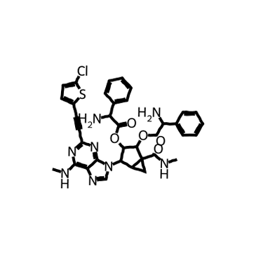 CNC(=O)C12CC1C(n1cnc3c(NC)nc(C#Cc4ccc(Cl)s4)nc31)C(OC(=O)C(N)c1ccccc1)C2OC(=O)C(N)c1ccccc1